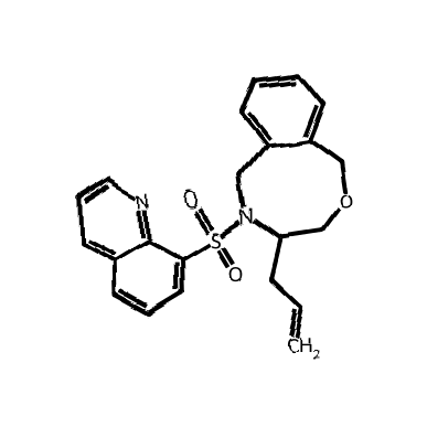 C=CCC1COCc2ccccc2CN1S(=O)(=O)c1cccc2cccnc12